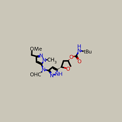 COCc1cc(N(C=O)c2cc([C@@H]3C[C@H](OC(=O)NC(C)(C)C)CO3)[nH]n2)n(C)n1